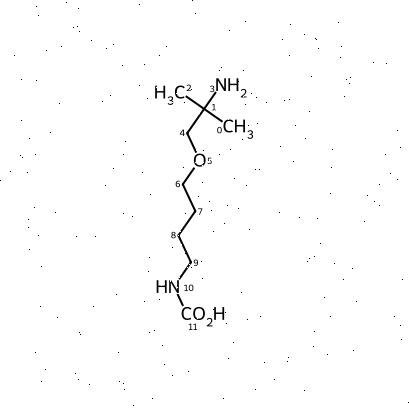 CC(C)(N)COCCCCNC(=O)O